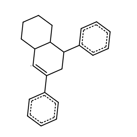 [C]1=C(c2ccccc2)CC(c2ccccc2)C2CCCCC12